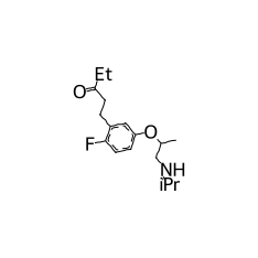 CCC(=O)CCc1cc(OC(C)CNC(C)C)ccc1F